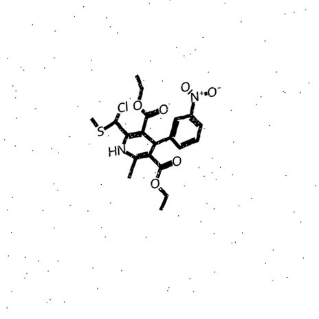 CCOC(=O)C1=C(C)NC(C(Cl)SC)=C(C(=O)OCC)C1c1cccc([N+](=O)[O-])c1